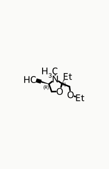 C#C[C@@H]1CO[C@](CC)(COCC)N1C